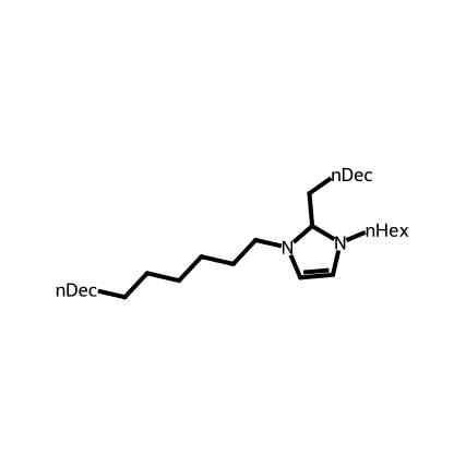 CCCCCCCCCCCCCCCCN1C=CN(CCCCCC)C1CCCCCCCCCCC